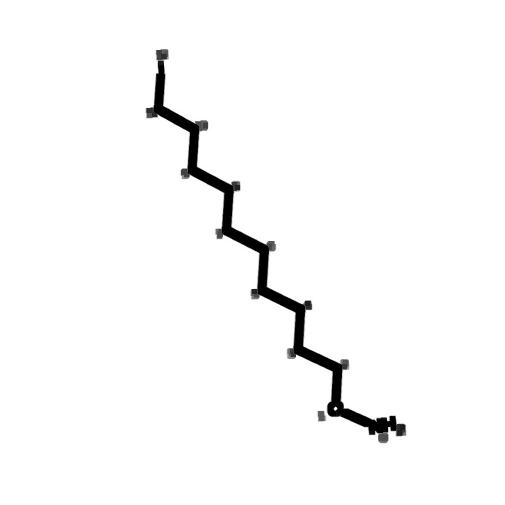 NOCCCCCCCCCCI